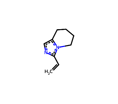 C=Cc1ncc2n1CCCC2